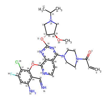 C=CC(=O)N1CCN(c2nc(O[C@@H]3CN(C(C)C)C[C@H]3OC)nc3c(Oc4c(Cl)c(F)cc(N)c4C=N)nccc23)CC1